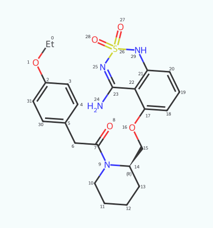 CCOc1ccc(CC(=O)N2CCCC[C@@H]2COc2cccc3c2C(N)=NS(=O)(=O)N3)cc1